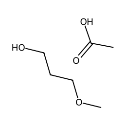 CC(=O)O.COCCCO